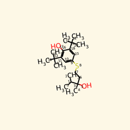 CC(C)C(C)(O)CCSc1cc(C(C)(C)C)c(O)c(C(C)(C)C)c1